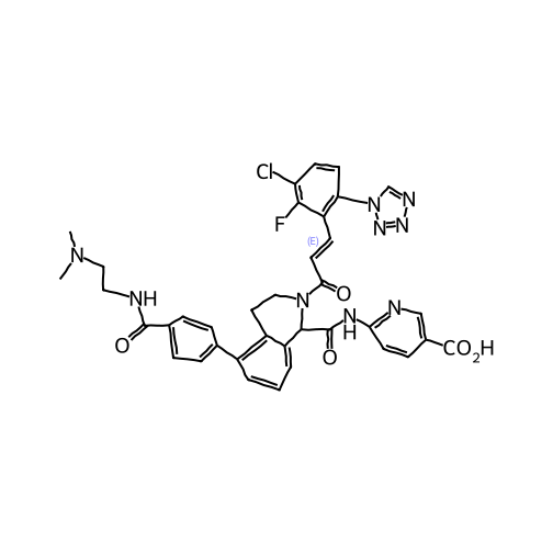 CN(C)CCNC(=O)c1ccc(-c2cccc3c2CCN(C(=O)/C=C/c2c(-n4cnnn4)ccc(Cl)c2F)C3C(=O)Nc2ccc(C(=O)O)cn2)cc1